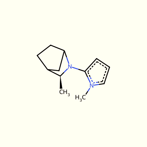 C[C@H]1C2CCC(C2)N1c1cccn1C